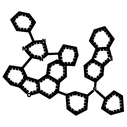 c1ccc(-c2nc(-c3ccccc3)nc(-c3cccc4oc5cc(-c6cccc(N(c7ccccc7)c7ccc8c(c7)sc7ccccc78)c6)c6ccccc6c5c34)n2)cc1